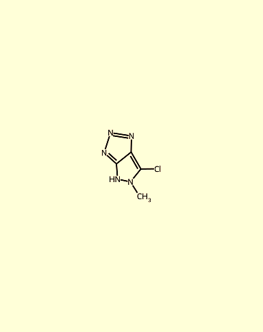 Cn1[nH]c2nnnc-2c1Cl